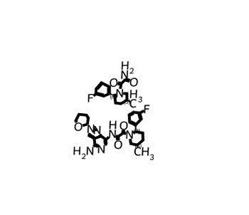 C[C@H]1CC[C@H](c2cccc(F)c2)N(C(=O)C(=O)Nc2cnc(N)c3cn(C4CCCCO4)nc23)C1.C[C@H]1CC[C@H](c2cccc(F)c2)N(C(=O)C(N)=O)C1